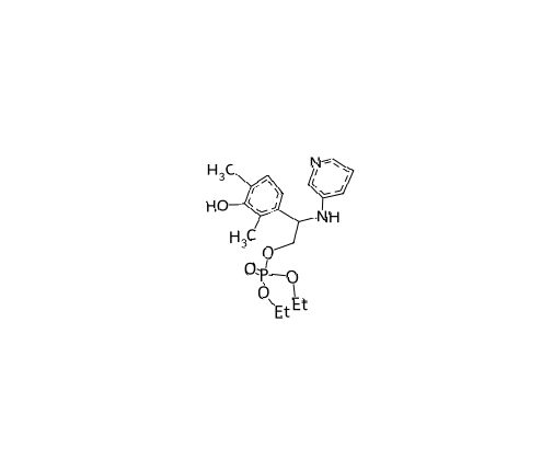 CCOP(=O)(OCC)OCC(Nc1cccnc1)c1ccc(C)c(O)c1C